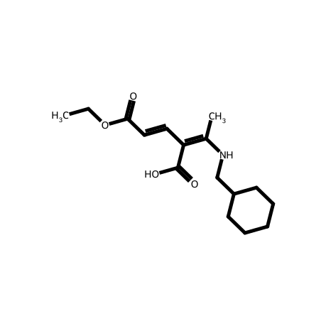 CCOC(=O)C=CC(C(=O)O)=C(C)NCC1CCCCC1